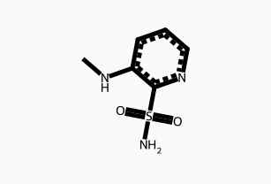 CNc1cccnc1S(N)(=O)=O